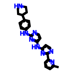 Cc1cccc(-c2nccc(Nc3ccnc(Nc4ccc(C5CCNCC5)cc4)n3)n2)n1